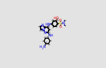 CN(C)S(=O)(=O)c1ccc(Nc2cc(N[C@H]3CC[C@H](N)CC3)nn3ccnc23)cc1O